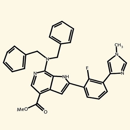 COC(=O)c1cnc(N(Cc2ccccc2)Cc2ccccc2)c2[nH]c(-c3cccc(-c4cn(C)cn4)c3F)cc12